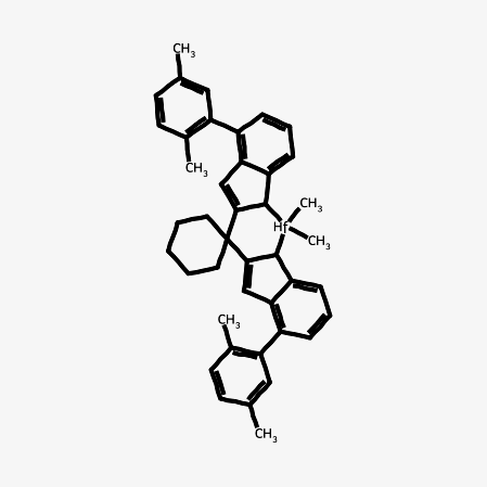 Cc1ccc(C)c(-c2cccc3c2C=C2[CH]3[Hf]([CH3])([CH3])[CH]3C(=Cc4c(-c5cc(C)ccc5C)cccc43)C23CCCCC3)c1